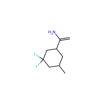 C=C(N)C1CC(C)CC(F)(F)C1